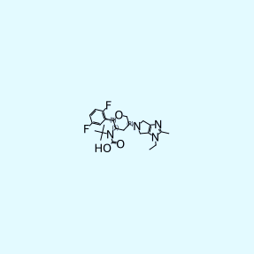 CCn1c(C)nc2c1CN([C@H]1CO[C@H](c3cc(F)ccc3F)[C@@H](N(C(=O)O)C(C)(C)C)C1)C2